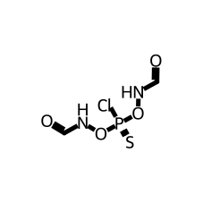 O=CNOP(=S)(Cl)ONC=O